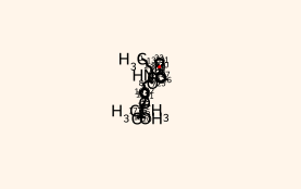 CCCCC(NC(=O)Cc1ccc(OCC(C)(C)C(=O)O)cc1)c1ccccc1N1CCCCC1